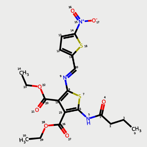 CCCC(=O)Nc1sc(N=Cc2ccc([N+](=O)[O-])s2)c(C(=O)OCC)c1C(=O)OCC